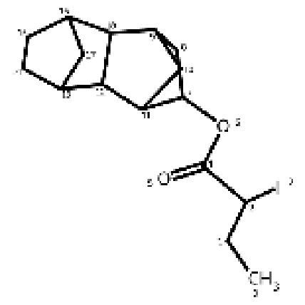 CCC(I)C(=O)OC1CC2CC1C1C3CCC(C3)C21